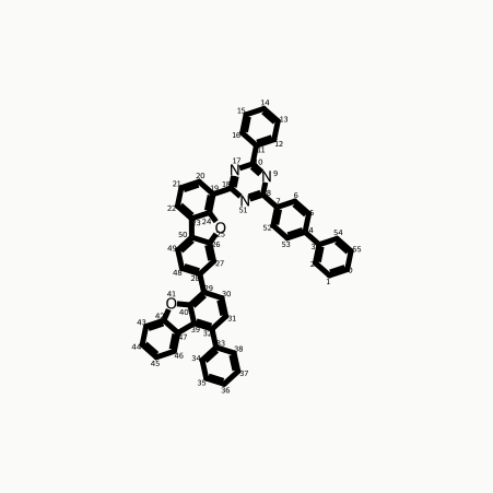 c1ccc(-c2ccc(-c3nc(-c4ccccc4)nc(-c4cccc5c4oc4cc(-c6ccc(-c7ccccc7)c7c6oc6ccccc67)ccc45)n3)cc2)cc1